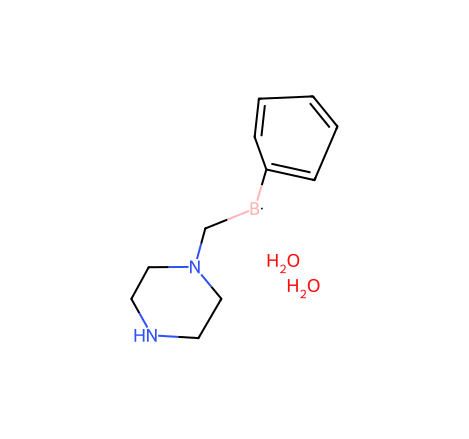 O.O.[B](CN1CCNCC1)c1ccccc1